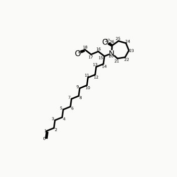 C=CCCCCCCCCCCCCCC(CCC=O)N1CCCCCC1=O